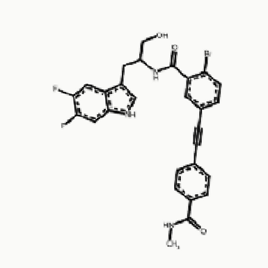 CNC(=O)c1ccc(C#Cc2ccc(Br)c(C(=O)NC(CO)Cc3c[nH]c4cc(F)c(F)cc34)c2)cc1